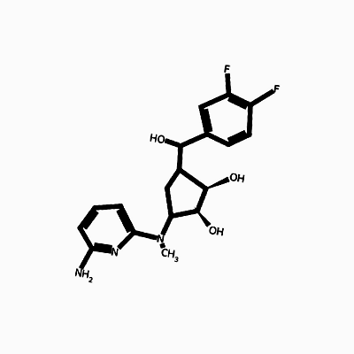 CN(c1cccc(N)n1)C1CC(C(O)c2ccc(F)c(F)c2)[C@@H](O)[C@H]1O